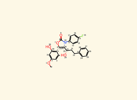 COc1ccc([C@@H]2OC(=O)N(c3ccc(F)cc3)[C@@H]2[C@@H](O)CCc2ccccc2)c(O)c1